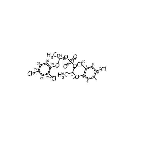 CC(Oc1ccc(Cl)cc1Cl)OS(=O)(=O)OC(C)Oc1ccc(Cl)cc1Cl